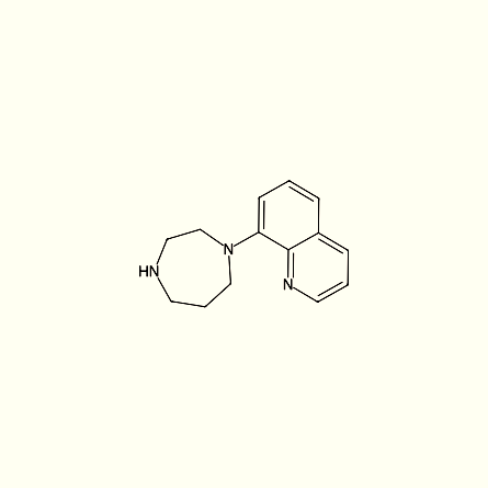 c1cnc2c(N3CCCNCC3)cccc2c1